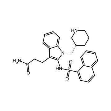 NC(=O)CCc1c(NS(=O)(=O)c2cccc3ccccc23)n(C[C@H]2CCCNC2)c2ccccc12